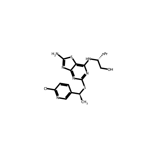 CCC[C@H](CO)Nc1nc(S[C@@H](C)c2ccc(Cl)nc2)nc2nc(N)sc12